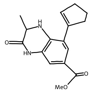 COC(=O)c1cc2c(c(C3=CCCC3)c1)NC(C)C(=O)N2